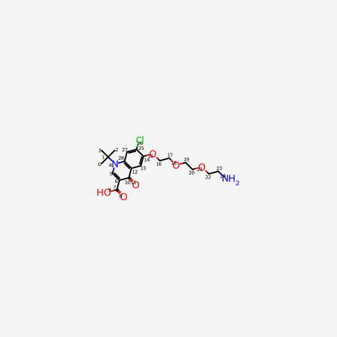 CC(C)(C)n1cc(C(=O)O)c(=O)c2cc(OCCOCCOCCN)c(Cl)cc21